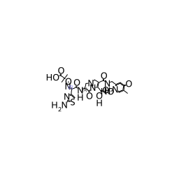 Cc1cn(O)c(CNC(=O)C2=C(C(=O)O)N3C(=O)[C@@H](NC(=O)/C(=N\OC(C)(C)C(=O)O)c4csc(N)n4)CN3C2)cc1=O